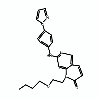 CCCCOCCn1c(=O)ccc2cnc(Nc3ccc(-n4cccn4)cc3)nc21